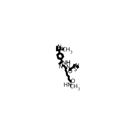 CNC(=O)CCCCCC(NC(=O)c1cncs1)c1ncc(-c2ccc(-c3ccnn3C)cc2)[nH]1